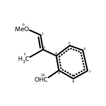 CO/C=C(\C)c1ccccc1C=O